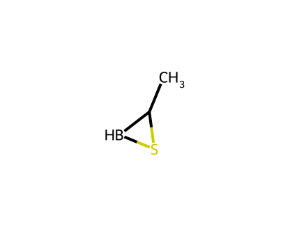 CC1BS1